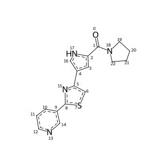 O=C(c1cc(-c2csc(-c3cccnc3)n2)c[nH]1)N1CCCC1